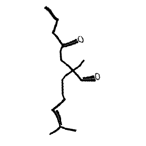 CCCC(=O)CC(C)(C=O)CCC=C(C)C